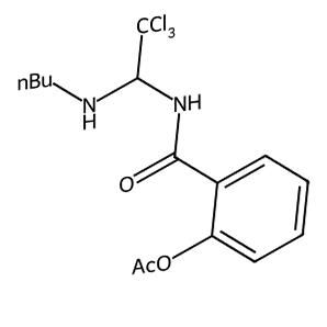 CCCCNC(NC(=O)c1ccccc1OC(C)=O)C(Cl)(Cl)Cl